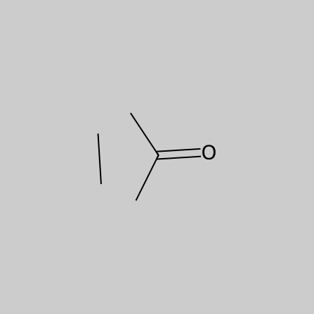 CC.CC(C)=O